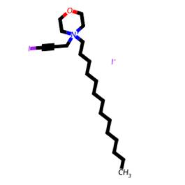 CCCCCCCCCCCCCC[N+]1(CC#CI)CCOCC1.[I-]